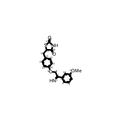 COc1cccc(C(=N)COc2ccc(CC3SC(=O)NC3=O)cc2)c1